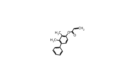 C=CC(=O)Oc1ccc(-c2ccccc2)c(C)c1C